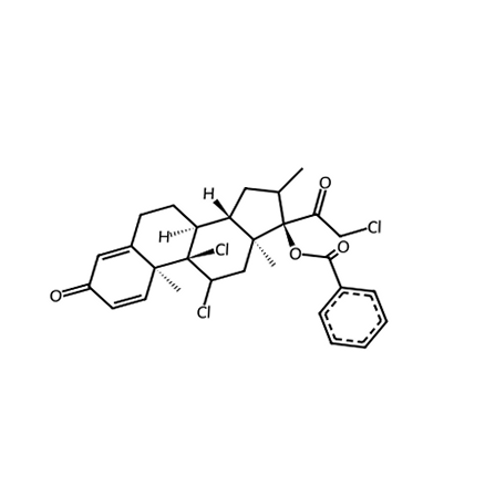 CC1C[C@H]2[C@@H]3CCC4=CC(=O)C=C[C@]4(C)[C@@]3(Cl)C(Cl)C[C@]2(C)[C@@]1(OC(=O)c1ccccc1)C(=O)CCl